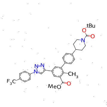 COC(=O)c1cc(-c2cn(-c3ccc(C(F)(F)F)cc3)nn2)cc(-c2ccc(C3CCN(C(=O)OC(C)(C)C)CC3)cc2)c1C